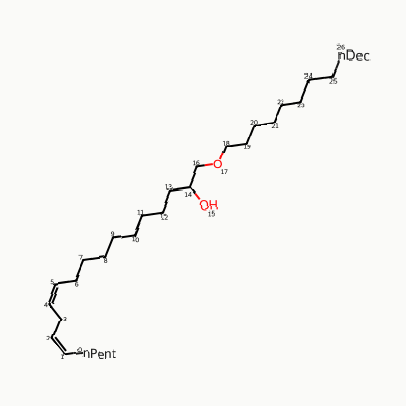 CCCCC/C=C\C/C=C\CCCCCCCCC(O)COCCCCCCCCCCCCCCCCCC